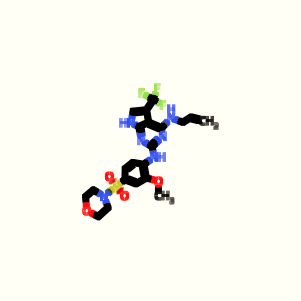 C=CCNc1nc(Nc2ccc(S(=O)(=O)N3CCOCC3)cc2OC)nc2[nH]cc(C(F)(F)F)c12